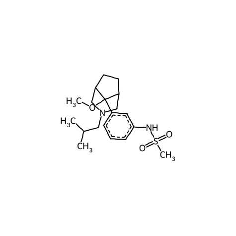 COC1(c2cccc(NS(C)(=O)=O)c2)C2CCC1CN(CC(C)C)C2